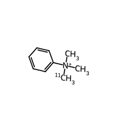 C[N+](C)([11CH3])c1ccccc1